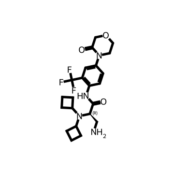 NC[C@H](C(=O)Nc1ccc(N2CCOCC2=O)cc1C(F)(F)F)N(C1CCC1)C1CCC1